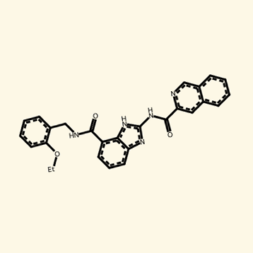 CCOc1ccccc1CNC(=O)c1cccc2nc(NC(=O)c3cc4ccccc4cn3)[nH]c12